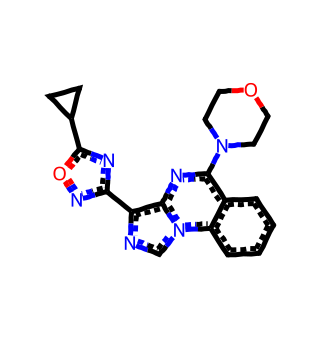 c1ccc2c(c1)c(N1CCOCC1)nc1c(-c3noc(C4CC4)n3)ncn12